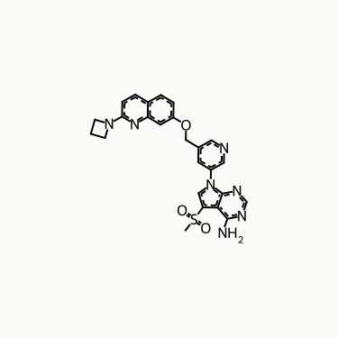 CS(=O)(=O)c1cn(-c2cncc(COc3ccc4ccc(N5CCC5)nc4c3)c2)c2ncnc(N)c12